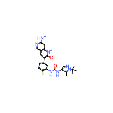 CNc1cc2c(cn1)cc(-c1ccc(F)c(NC(=O)Nc3cnn(C(C)(C)C)c3C)c1)c(=O)n2C